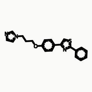 c1ccc(-c2nc(-c3ccc(OCCCn4ccnc4)cc3)cs2)cc1